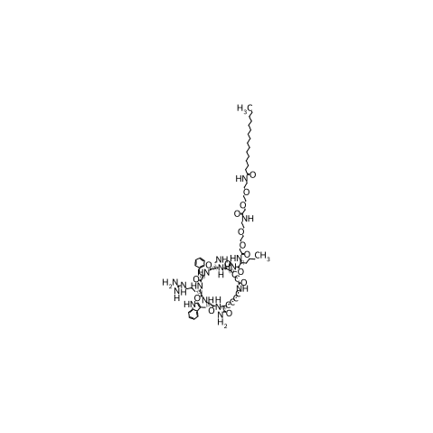 CCCCCCCCCCCCCCCC(=O)NCCOCCOCC(=O)NCCOCCOCC(=O)N[C@@H](CCCC)C(=O)N[C@H]1CCC(=O)NCCCC[C@@H](C(N)=O)NC(=O)[C@H](Cc2c[nH]c3ccccc23)NC(=O)[C@H](CCCNC(=N)N)NC(=O)[C@@H](Cc2ccccc2)NC(=O)[C@H](CN)NC1=O